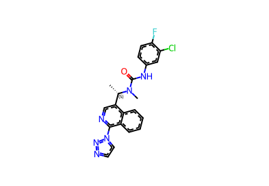 C[C@@H](c1cnc(-n2ccnn2)c2ccccc12)N(C)C(=O)Nc1ccc(F)c(Cl)c1